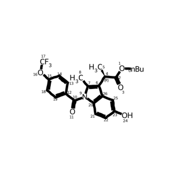 CCCCOC(=O)[C@H](C)c1c(C)n(C(=O)c2ccc(OC(F)(F)F)cc2)c2ccc(O)cc12